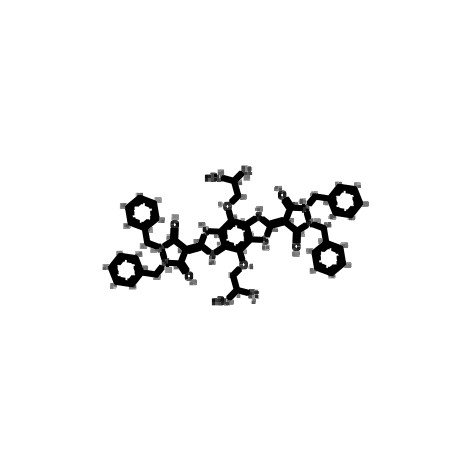 CCCCC(CC)COc1c2c(c(OCC(CC)CCCC)c3c1SC(=C1C(=O)N(Cc4ccccc4)N(Cc4ccccc4)C1=O)S3)SC(=C1C(=O)N(Cc3ccccc3)N(Cc3ccccc3)C1=O)S2